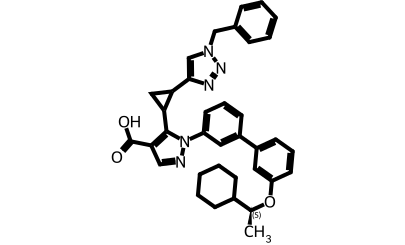 C[C@H](Oc1cccc(-c2cccc(-n3ncc(C(=O)O)c3C3CC3c3cn(Cc4ccccc4)nn3)c2)c1)C1CCCCC1